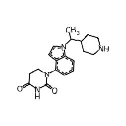 CC(C1CCNCC1)n1ccc2c(N3CCC(=O)NC3=O)cccc21